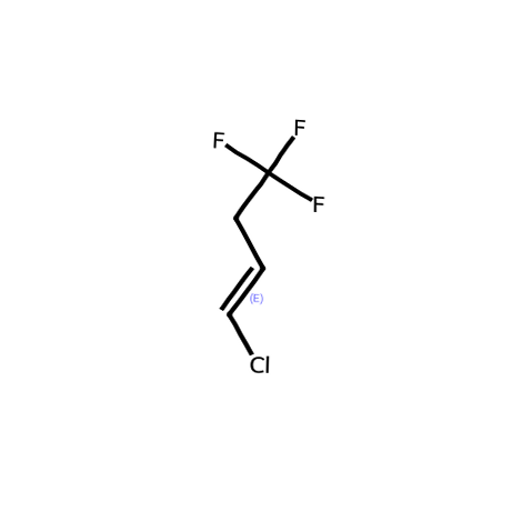 FC(F)(F)C/C=C/Cl